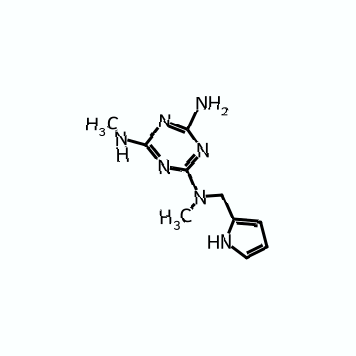 CNc1nc(N)nc(N(C)Cc2ccc[nH]2)n1